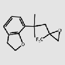 CC(C)(CC1(C(F)(F)F)CO1)c1cccc2c1OCC2